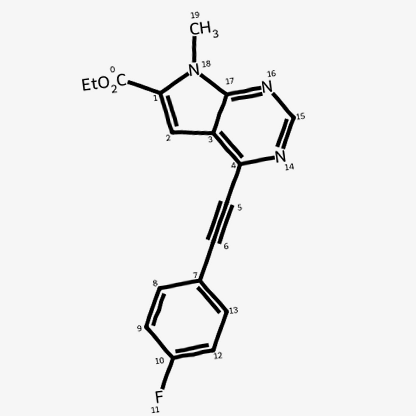 CCOC(=O)c1cc2c(C#Cc3ccc(F)cc3)ncnc2n1C